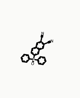 N#Cc1cc2ccc(P(=O)(c3ccccc3)c3ccccc3)cc2cc1C#N